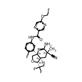 C[C@@]1(C#N)C[C@H]2[C@H](C(F)(F)F)OC[C@@]2(c2cc(NC(=O)c3cnc(OCF)cn3)ccc2F)N=C1N